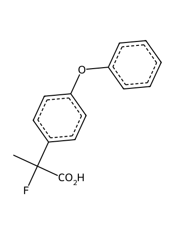 CC(F)(C(=O)O)c1ccc(Oc2ccccc2)cc1